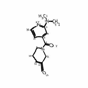 CN(C)c1cc(C(=O)N2CCCC(=O)C2)ccn1